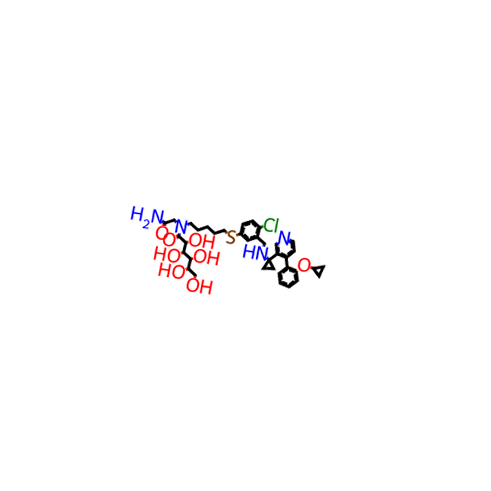 NC(=O)CN(CCCCCSc1ccc(Cl)c(CNC2(c3cnccc3-c3ccccc3OC3CC3)CC2)c1)C(=O)C(O)C(O)C(O)C(O)CO